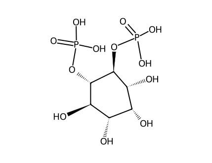 O=P(O)(O)O[C@H]1[C@H](O)[C@H](O)[C@H](O)[C@@H](O)[C@@H]1OP(=O)(O)O